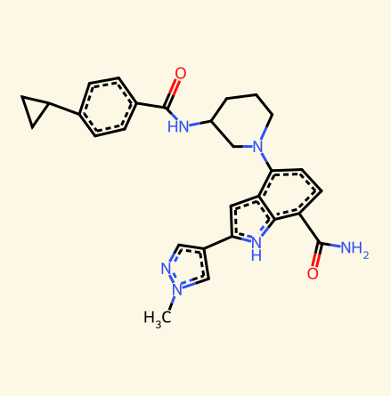 Cn1cc(-c2cc3c(N4CCCC(NC(=O)c5ccc(C6CC6)cc5)C4)ccc(C(N)=O)c3[nH]2)cn1